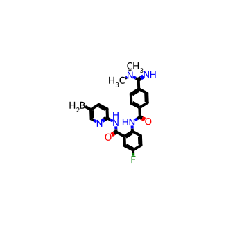 Bc1ccc(NC(=O)c2cc(F)ccc2NC(=O)c2ccc(C(=N)N(C)C)cc2)nc1